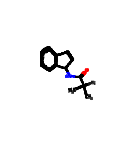 CCC(C)(C)C(=O)NC1CCc2ccccc21